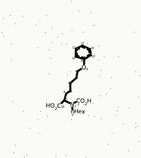 CCCCCCN(C(=O)O)C(CCCCCOc1ccccc1)C(=O)O